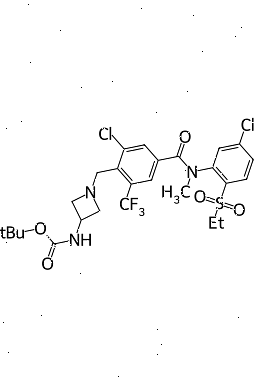 CCS(=O)(=O)c1ccc(Cl)cc1N(C)C(=O)c1cc(Cl)c(CN2CC(NC(=O)OC(C)(C)C)C2)c(C(F)(F)F)c1